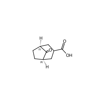 O=C(O)C1C[C@H]2CC[C@@H](C1)C2=O